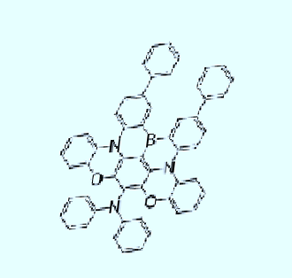 c1ccc(-c2ccc3c(c2)B2c4cc(-c5ccccc5)ccc4-n4c5ccccc5oc5c(N(c6ccccc6)c6ccccc6)c6oc7ccccc7n-3c6c2c54)cc1